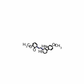 COC1=CC=C/C(=C\C=C2/NCCc3c2[nH]c2cc(OC)ccc32)C1=O